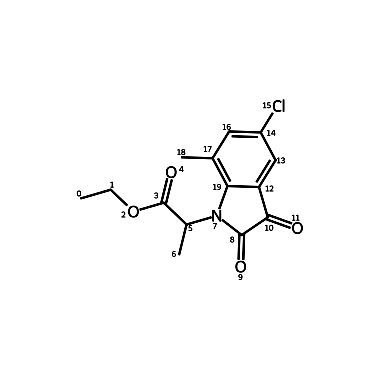 CCOC(=O)C(C)N1C(=O)C(=O)c2cc(Cl)cc(C)c21